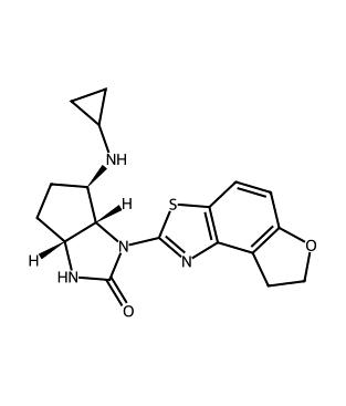 O=C1N[C@@H]2CC[C@@H](NC3CC3)[C@@H]2N1c1nc2c3c(ccc2s1)OCC3